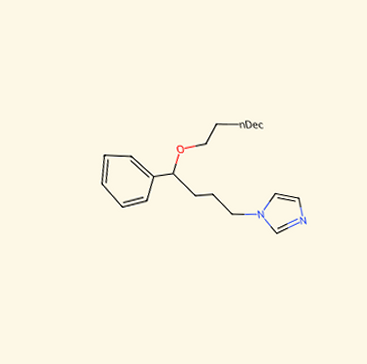 CCCCCCCCCCCCOC(CCCn1ccnc1)c1ccccc1